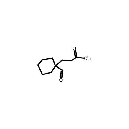 O=CC1(CCC(=O)O)CCCCC1